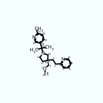 CCOC[C@@]1(CCc2ccccn2)CCN(C(C)(C)c2ccc(C)nc2)C1